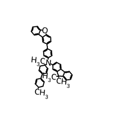 CC1C=CC(C2=CC[C@@](C)(N(c3ccc(-c4ccc5oc6ccccc6c5c4)cc3)c3ccc4c(c3)C(C)(C)c3ccccc3-4)C=C2)=CC1